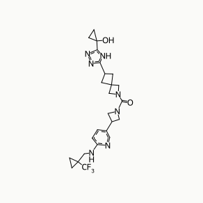 O=C(N1CC(c2ccc(NCC3(C(F)(F)F)CC3)nc2)C1)N1CC2(CC(c3nnc(C4(O)CC4)[nH]3)C2)C1